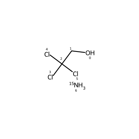 OCC(Cl)(Cl)Cl.[15NH3]